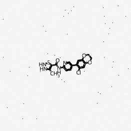 CC1=C(C(=O)Nc2ccc(-c3cc4c(cc3Cl)OCCO4)cn2)SNN1